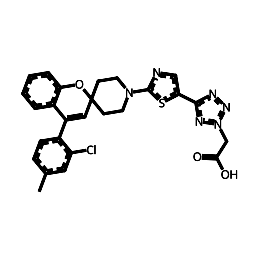 Cc1ccc(C2=CC3(CCN(c4ncc(-c5nnn(CC(=O)O)n5)s4)CC3)Oc3ccccc32)c(Cl)c1